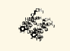 CCCOc1nn(C(=O)NS(=O)(=O)c2ccccc2C(=O)OC)c(=O)n1C.COc1nn(C(=O)NS(=O)(=O)c2ccccc2OC(F)(F)F)c(=O)n1C